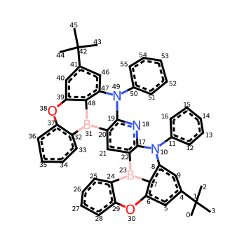 CC(C)(C)c1cc2c3c(c1)N(c1ccccc1)c1nc4c(cc1B3c1ccccc1O2)B1c2ccccc2Oc2cc(C(C)(C)C)cc(c21)N4c1ccccc1